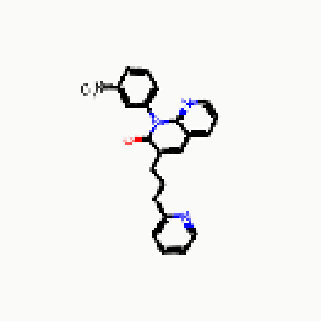 O=c1c(CCCc2ccccn2)cc2cccnc2n1-c1cccc([N+](=O)[O-])c1